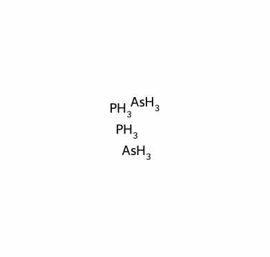 P.P.[AsH3].[AsH3]